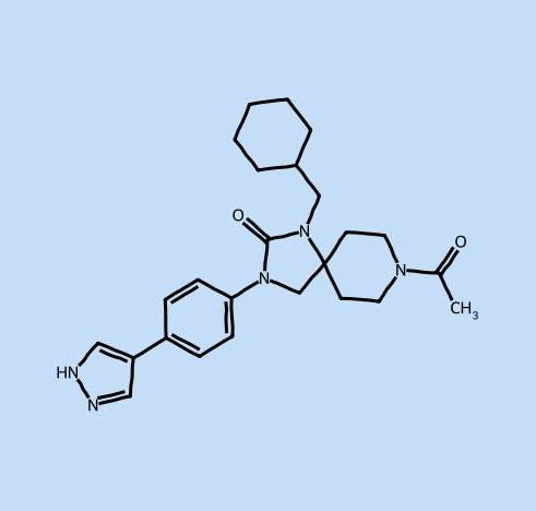 CC(=O)N1CCC2(CC1)CN(c1ccc(-c3cn[nH]c3)cc1)C(=O)N2CC1CCCCC1